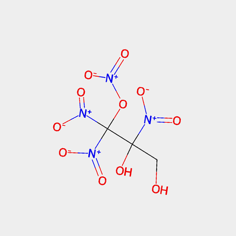 O=[N+]([O-])OC([N+](=O)[O-])([N+](=O)[O-])C(O)(CO)[N+](=O)[O-]